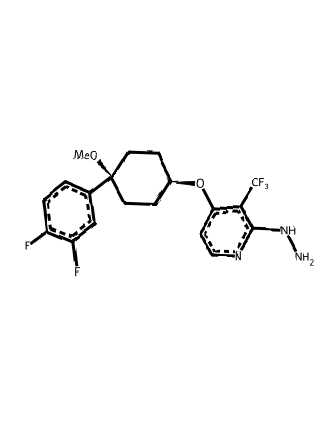 CO[C@]1(c2ccc(F)c(F)c2)CC[C@H](Oc2ccnc(NN)c2C(F)(F)F)CC1